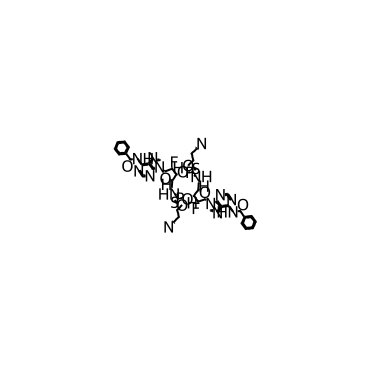 N#CCCOP1(=S)NC[C@H]2O[C@@H](n3cnc4c(NC(=O)c5ccccc5)ncnc43)[C@H](F)[C@@H]2OP(=S)(OCCC#N)NC[C@H]2O[C@@H](n3cnc4c(NC(=O)c5ccccc5)ncnc43)[C@H](F)[C@@H]2O1